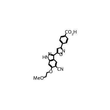 COCCOc1cc2[nH]nc(-c3cc(-c4ccc(C(=O)O)cc4)no3)c2cc1C#N